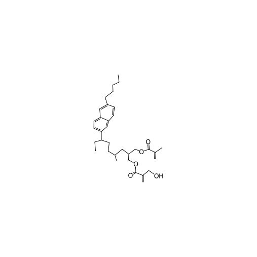 C=C(C)C(=O)OCC(COC(=O)C(=C)CO)CC(C)CCC(CC)c1ccc2cc(CCCCC)ccc2c1